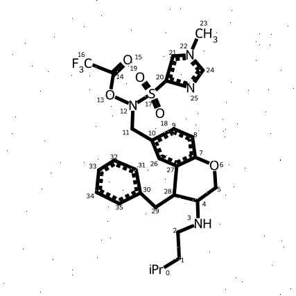 CC(C)CCNC1COc2ccc(CN(OC(=O)C(F)(F)F)S(=O)(=O)c3cn(C)cn3)cc2C1Cc1ccccc1